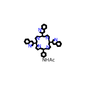 CC(=O)Nc1ccc(C2=C3C=CC(=N3)C(c3cnc4ccccc4c3)=C3C=CC(=N3)C(c3cnc4ccccc4c3)=C3C=CC(=N3)C(c3cnc4ccccc4c3)=C3C=CC2=N3)cc1